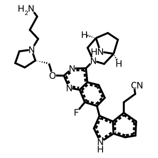 N#CCCc1cccc2[nH]cc(-c3ccc4c(N5C[C@H]6CC[C@@H](C5)N6)nc(OC[C@@H]5CCCN5CCCN)nc4c3F)c12